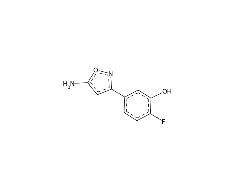 Nc1cc(-c2ccc(F)c(O)c2)no1